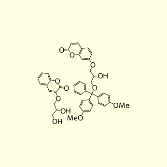 COc1ccc(C(OCC(O)COc2ccc3ccc(=O)oc3c2)(c2ccccc2)c2ccc(OC)cc2)cc1.O=c1oc2ccccc2cc1OCC(O)CO